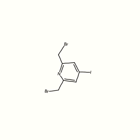 BrCc1cc(I)cc(CBr)n1